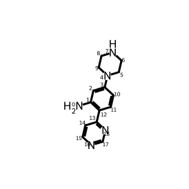 Nc1cc(N2CCNCC2)ccc1-c1ccncn1